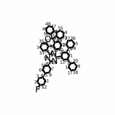 Fc1ccc(-c2ccc(-c3nc(-c4cc(-c5ccccc5)cc(-c5ccccc5)c4)nc(-c4cccc5c4-c4ccccc4C(c4ccccc4)(c4ccccc4)O5)n3)cc2)cc1